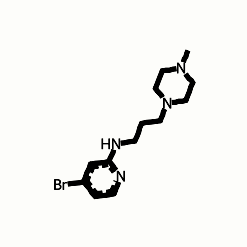 CN1CCN(CCCNc2cc(Br)ccn2)CC1